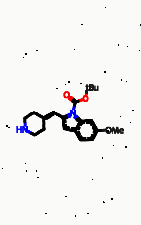 COc1ccc2cc(C=C3CCNCC3)n(C(=O)OC(C)(C)C)c2c1